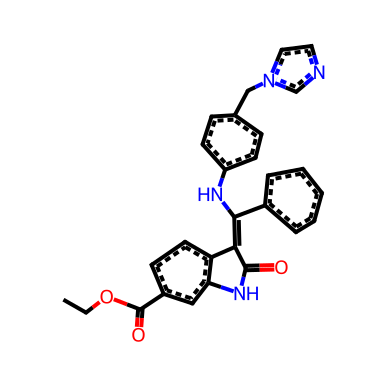 CCOC(=O)c1ccc2c(c1)NC(=O)C2=C(Nc1ccc(Cn2ccnc2)cc1)c1ccccc1